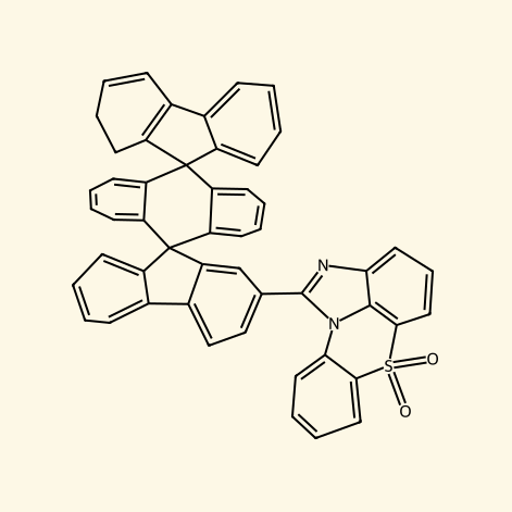 O=S1(=O)c2ccccc2-n2c(-c3ccc4c(c3)C3(c5ccccc5-4)c4ccccc4C4(C5=C(C=CCC5)c5ccccc54)c4ccccc43)nc3cccc1c32